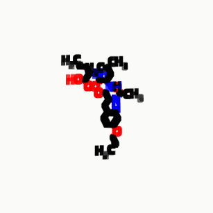 C=CCOc1ccc(CC(NC(C)=O)C(=O)NC(CC(C)C)C(=O)NC(CC=C)C(=O)O)cc1